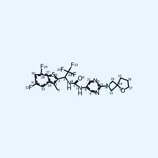 Cc1c(C(NC(=O)Nc2cnc(N3CC4(CCCO4)C3)nc2)C(F)(F)F)sc2c(F)cc(F)cc12